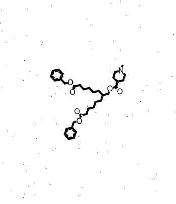 CN1CCC(C(=O)OCC(CCCCCC(=O)OCc2ccccc2)CCCCCC(=O)OCc2ccccc2)CC1